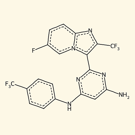 Nc1cc(Nc2ccc(C(F)(F)F)cc2)nc(-c2c(C(F)(F)F)nc3ccc(F)cn23)n1